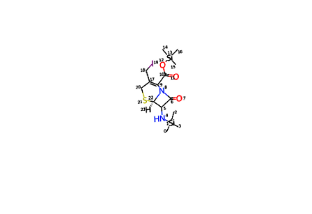 C[Si](C)(C)NC1C(=O)N2C(C(=O)O[Si](C)(C)C)=C(CI)CS[C@H]12